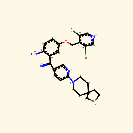 N=C(c1ccc(N2CCC3(CCSC3)CC2)nc1)c1cc(OCc2c(Cl)cncc2Cl)ccc1N